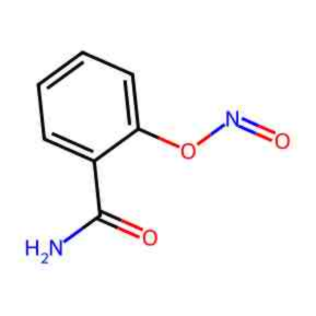 NC(=O)c1ccccc1ON=O